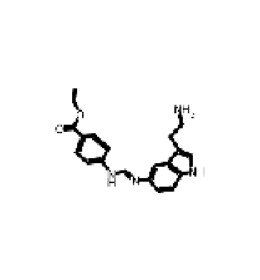 CCOC(=O)c1ccc(NC=Nc2ccc3[nH]cc(CCN)c3c2)cc1